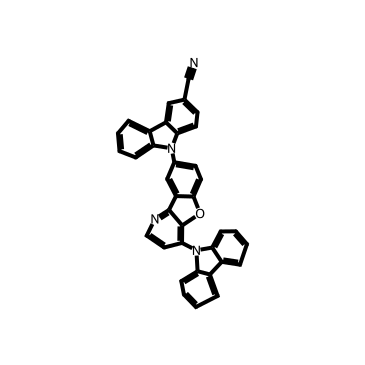 N#Cc1ccc2c(c1)c1ccccc1n2-c1ccc2oc3c(-n4c5ccccc5c5ccccc54)ccnc3c2c1